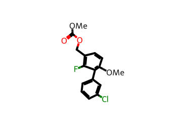 COC(=O)OCc1ccc(OC)c(-c2cccc(Cl)c2)c1F